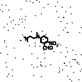 CN(C)CCN(C)c1ccc([N+](=O)[O-])c(C=O)c1